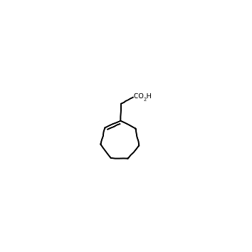 O=C(O)CC1=CCCCCC1